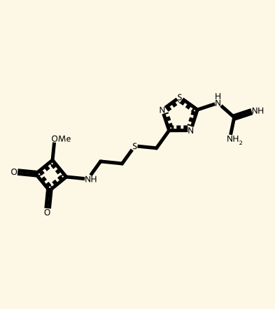 COc1c(NCCSCc2nsc(NC(=N)N)n2)c(=O)c1=O